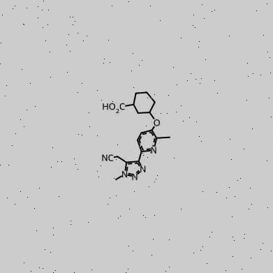 Cc1nc(-c2nnn(C)c2CC#N)ccc1OC1CCCC(C(=O)O)C1